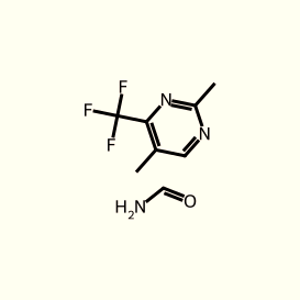 Cc1ncc(C)c(C(F)(F)F)n1.NC=O